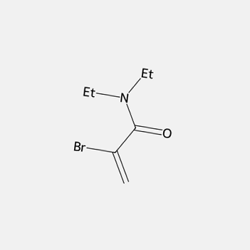 C=C(Br)C(=O)N(CC)CC